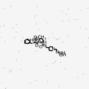 CS(=O)(=O)N[C@H](Cc1ccccc1)C(=O)N1CCC[C@H]1C(=O)NCC1CCN(C=NNO)CC1